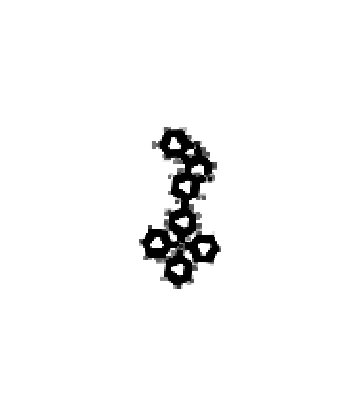 c1ccc([Si](c2ccccc2)(c2ccccc2)c2ccc(-c3ccc4c(c3)ncc3sc5ccccc5c34)cc2)cc1